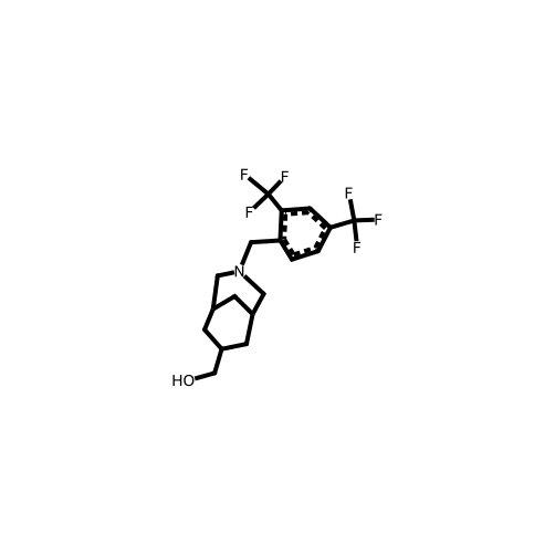 OCC1CC2CC(C1)CN(Cc1ccc(C(F)(F)F)cc1C(F)(F)F)C2